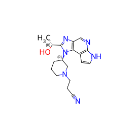 C[C@@H](O)c1nc2cnc3[nH]ccc3c2n1[C@@H]1CCCN(CCC#N)C1